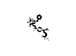 C=C(Cl)/C=C\C=C(/C)N1CCN(C(=O)CCC2(CNCc3ccccc3)NC(=O)NC2=O)CC1